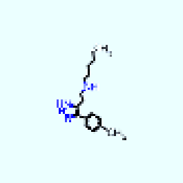 CCCCCCNCCc1[nH]nnc1-c1ccc(C)cc1